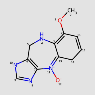 COC1=C2NCC3=C(N=C[N]3)[N+]([O-])=C2CC=C1